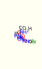 CC(C)C1(CC(=O)NCCC(=O)O)NC(=O)N(NCOCNc2ccc(Br)cc2)C1=O